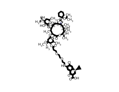 CC[C@H]1OC(=O)[C@H](C)[C@@H](OC2C[C@@](C)(OC)[C@@H](OC(=O)CCOCCOCCNc3cc4c(=O)c(C(=O)O)cn(C5CC5)c4cc3Cl)[C@H](C)O2)[C@H](C)[C@@H](OC2O[C@H](C)C[C@H](N(C)C)[C@H]2O)[C@](C)(O)C[C@@H](C)/C(=N\OC2(OC(C)C)CCCCC2)[C@H](C)[C@@H](O)[C@]1(C)O